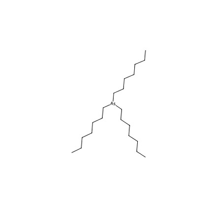 CCCCCCC[As](CCCCCCC)CCCCCCC